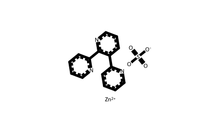 O=S(=O)([O-])[O-].[Zn+2].c1ccc(-c2cccnc2-c2ccccn2)nc1